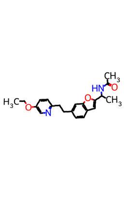 CCOc1ccc(CCc2ccc3cc(C(C)NC(C)=O)oc3c2)nc1